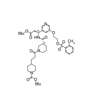 Cc1ccccc1S(=O)(=O)OCCOc1cncc([C@H](CC(=O)OC(C)(C)C)NC(=O)[C@@H]2CCCN(C(=O)CCC3CCN(C(=O)OC(C)(C)C)CC3)C2)c1